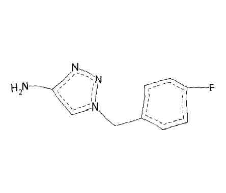 Nc1cn(Cc2ccc(F)cc2)nn1